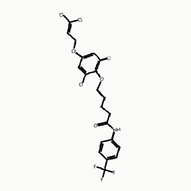 O=C(CCCCOc1c(Cl)cc(OCC=C(Cl)Cl)cc1Cl)Nc1ccc(C(F)(F)F)cc1